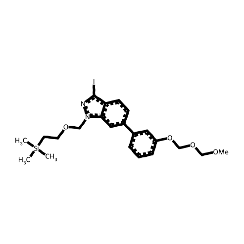 COCOCOc1cccc(-c2ccc3c(I)nn(COCC[Si](C)(C)C)c3c2)c1